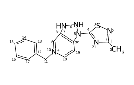 Cc1nsc(N2NNc3c[n+](Cc4ccccc4)ccc32)n1